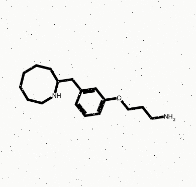 NCCCOc1cccc(CC2CCCCCCN2)c1